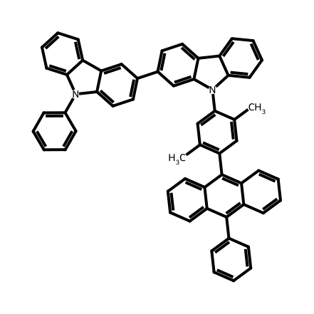 Cc1cc(-n2c3ccccc3c3ccc(-c4ccc5c(c4)c4ccccc4n5-c4ccccc4)cc32)c(C)cc1-c1c2ccccc2c(-c2ccccc2)c2ccccc12